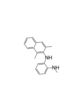 CNc1ccccc1Nc1c(C)cc2ccccc2c1C